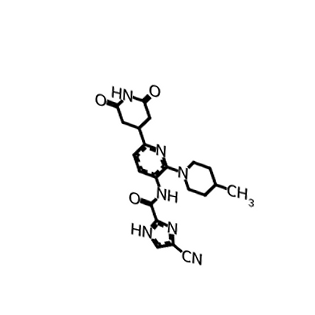 CC1CCN(c2nc(C3CC(=O)NC(=O)C3)ccc2NC(=O)c2nc(C#N)c[nH]2)CC1